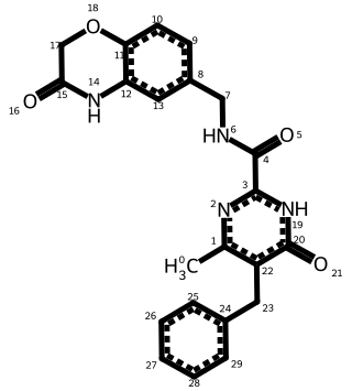 Cc1nc(C(=O)NCc2ccc3c(c2)NC(=O)CO3)[nH]c(=O)c1Cc1ccccc1